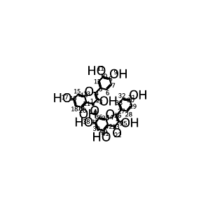 O=c1c(O)c(-c2ccc(O)c(O)c2)oc2cc(O)cc(O)c12.O=c1c(O)c(-c2ccc(O)cc2)oc2cc(O)cc(O)c12